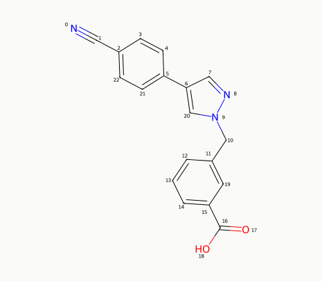 N#Cc1ccc(-c2cnn(Cc3cccc(C(=O)O)c3)c2)cc1